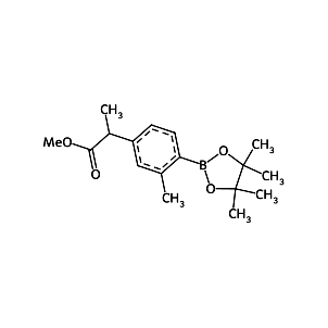 COC(=O)C(C)c1ccc(B2OC(C)(C)C(C)(C)O2)c(C)c1